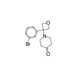 O=C1CCN(C2(c3cccc(Br)c3)COC2)CC1